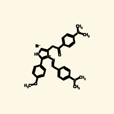 COc1ccc(-c2[nH]cc(CC(=O)c3ccc(N(C)C)cc3)[n+]2N=Cc2ccc(N(C)C)cc2)cc1.[Br-]